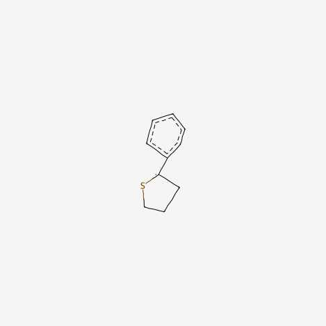 c1ccc([C]2CCCS2)cc1